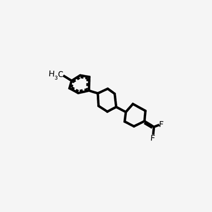 Cc1ccc(C2CCC(C3CCC(=C(F)F)CC3)CC2)cc1